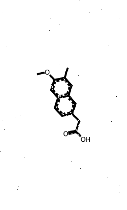 COc1cc2ccc(CC(=O)O)cc2cc1C